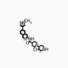 CC1CC(C(=O)Nc2cc3cc(-c4cnn(C)c4)ccc3cn2)CCN1C1CCNCC1